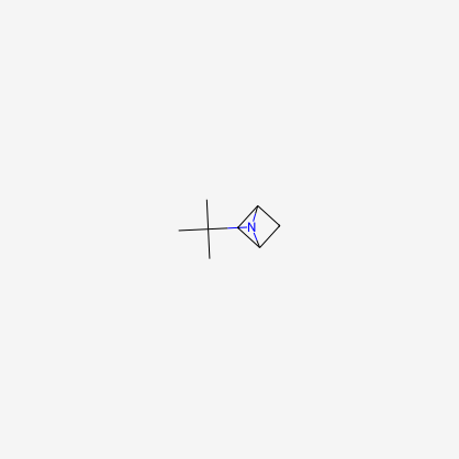 CC(C)(C)N1C2CC1C2